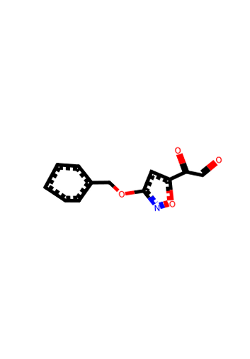 O=CC(=O)c1cc(OCc2ccccc2)no1